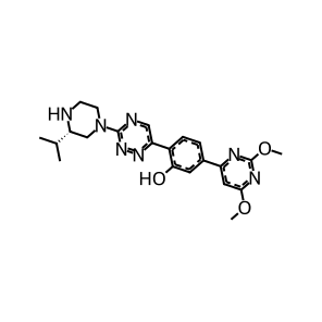 COc1cc(-c2ccc(-c3cnc(N4CCN[C@@H](C(C)C)C4)nn3)c(O)c2)nc(OC)n1